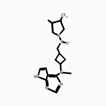 CC1CN([S+]([O-])CC2CC(N(C)c3ncnc4[nH]ccc34)C2)CC1C(F)(F)F